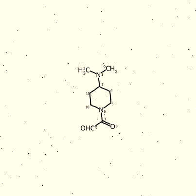 CN(C)C1CCN(C(=O)C=O)CC1